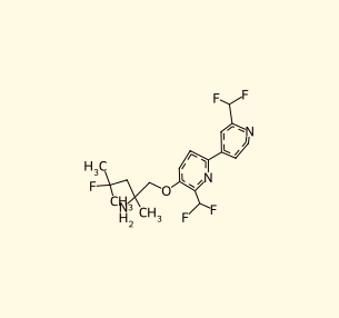 CC(C)(F)CC(C)(N)COc1ccc(-c2ccnc(C(F)F)c2)nc1C(F)F